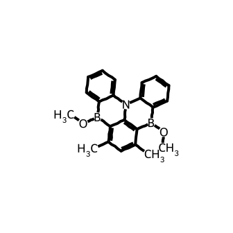 COB1c2ccccc2N2c3ccccc3B(OC)c3c(C)cc(C)c1c32